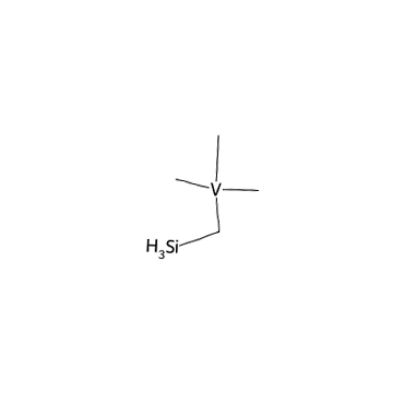 [CH3][V]([CH3])([CH3])[CH2][SiH3]